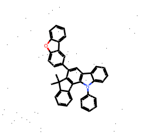 CC1(C)c2ccccc2-c2c1c(-c1ccc3oc4ccccc4c3c1)cc1c3ccccc3n(-c3ccccc3)c21